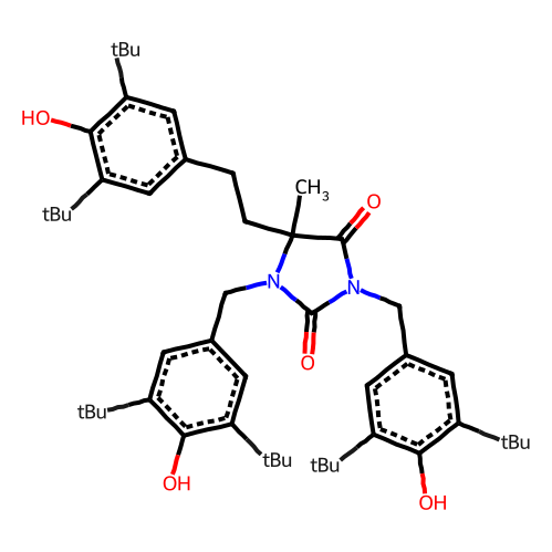 CC(C)(C)c1cc(CCC2(C)C(=O)N(Cc3cc(C(C)(C)C)c(O)c(C(C)(C)C)c3)C(=O)N2Cc2cc(C(C)(C)C)c(O)c(C(C)(C)C)c2)cc(C(C)(C)C)c1O